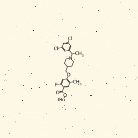 Cc1cc(C(=O)OC(C)(C)C)c(F)cc1OCC1CCN(C(C)c2cc(Cl)cc(Cl)c2)CC1